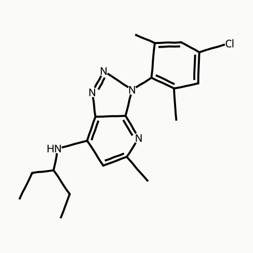 CCC(CC)Nc1cc(C)nc2c1nnn2-c1c(C)cc(Cl)cc1C